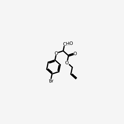 C=CCOC(=O)C(C=O)Oc1ccc(Br)cc1